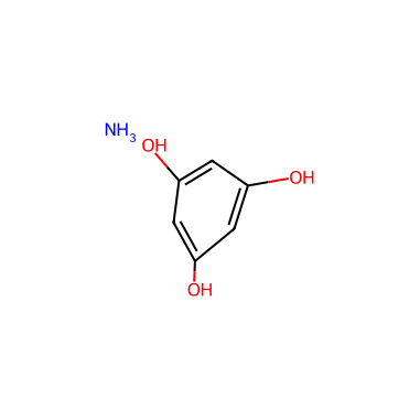 N.Oc1cc(O)cc(O)c1